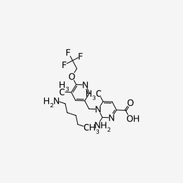 CC1=CC(C(=O)O)=NC(N)N1Cc1cnc(OCC(F)(F)F)c(C)c1.CCCCCN